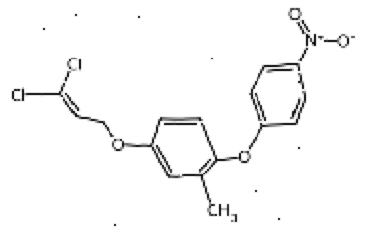 Cc1cc(OCC=C(Cl)Cl)ccc1Oc1ccc([N+](=O)[O-])cc1